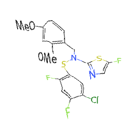 COc1ccc(CN(Sc2cc(Cl)c(F)cc2F)c2ncc(F)s2)c(OC)c1